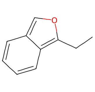 CCc1occ2ccccc12